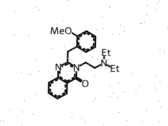 CCN(CC)CCn1c(Cc2ccccc2OC)nc2ccccc2c1=O